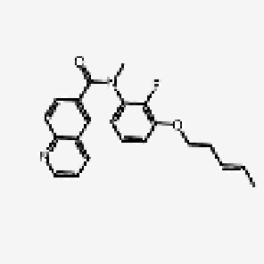 CC=CCCOc1cccc(N(C)C(=O)c2ccc3ncccc3c2)c1F